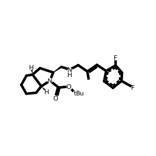 C/C(=C\c1ccc(F)cc1F)CNC[C@@H]1C[C@@H]2CCCC[C@@H]2N1C(=O)OC(C)(C)C